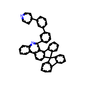 c1cc(-c2ccncc2)cc(-c2cccc(-c3nc4ccccc4c4ccc5c(c34)-c3ccccc3C53c4ccccc4-c4ccccc43)c2)c1